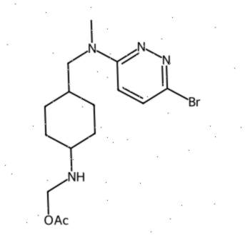 CC(=O)OCNC1CCC(CN(C)c2ccc(Br)nn2)CC1